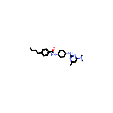 CCCCc1ccc(C(=O)N[C@H]2CC[C@@H](Nc3nc(C)cc(N(C)C)n3)CC2)cc1